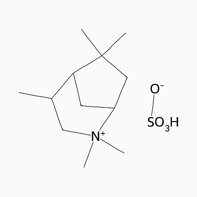 CC1C[N+](C)(C)C2CC1C(C)(C)C2.O=S(=O)([O-])O